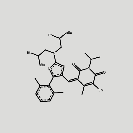 CCCCC(CC)CN(CC(CC)CCCC)c1nc(-c2c(C)cccc2C)c(/C=C2\C(=O)N(N(C)C)C(=O)C(C#N)=C2C)s1